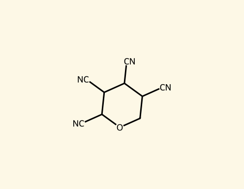 N#CC1COC(C#N)C(C#N)C1C#N